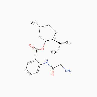 CC1CC[C@@H](C(C)C)C(OC(=O)c2ccccc2NC(=O)CN)C1